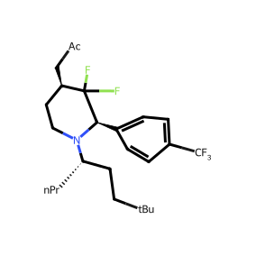 CCC[C@@H](CCC(C)(C)C)N1CC[C@@H](CC(C)=O)C(F)(F)[C@H]1c1ccc(C(F)(F)F)cc1